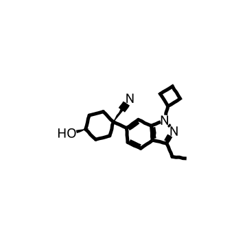 CCc1nn(C2CCC2)c2cc([C@]3(C#N)CC[C@@H](O)CC3)ccc12